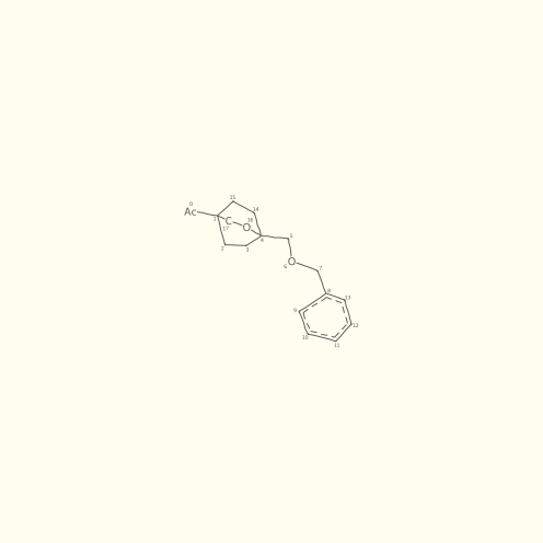 CC(=O)C12CCC(COCc3ccccc3)(CC1)OC2